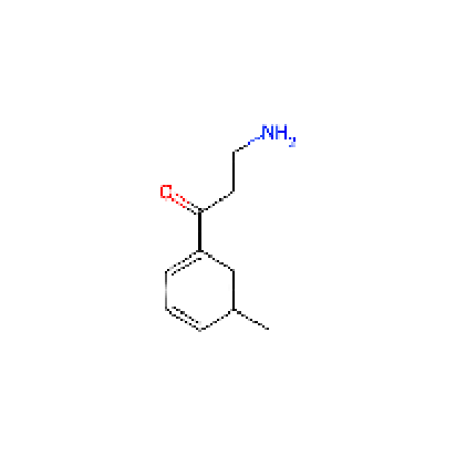 Cc1cccc(C(=O)CCN)c1